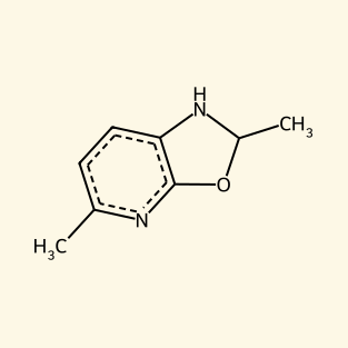 Cc1ccc2c(n1)OC(C)N2